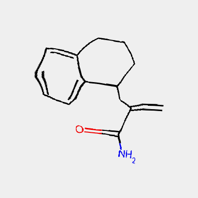 C=C(C(N)=O)C1CCCc2ccccc21